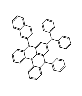 c1ccc(N(c2ccccc2)c2cc3c4c(c2)N(c2ccc5ccccc5c2)c2ccccc2B4c2ccccc2N3c2ccccc2)cc1